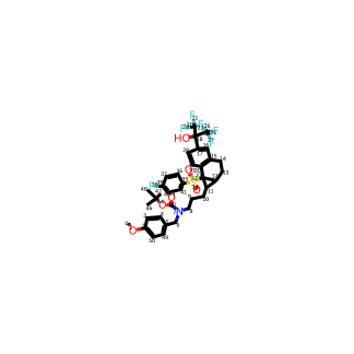 COc1ccc(CN(CCCC2C3CCc4cc(C(O)(C(F)(F)F)C(F)(F)F)ccc4C23S(=O)(=O)c2ccc(F)cc2)C(=O)OC(C)(C)C)cc1